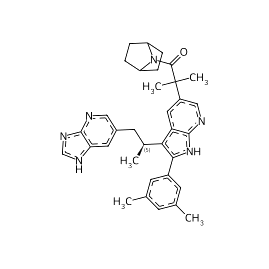 Cc1cc(C)cc(-c2[nH]c3ncc(C(C)(C)C(=O)N4C5CCC4CC5)cc3c2[C@@H](C)Cc2cnc3nc[nH]c3c2)c1